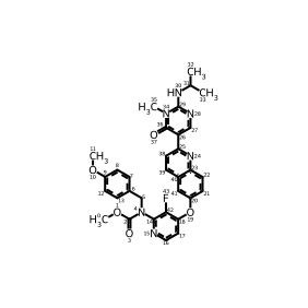 COC(=O)N(Cc1ccc(OC)cc1)c1nccc(Oc2ccc3nc(-c4cnc(NC(C)C)n(C)c4=O)ccc3c2)c1F